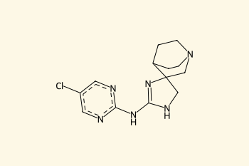 Clc1cnc(NC2=NC3(CN2)CN2CCC3CC2)nc1